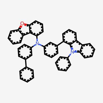 c1ccc(-c2cccc(N(c3cccc(-c4cccc5c6ccccc6n(-c6ccccc6)c45)c3)c3cccc4oc5ccccc5c34)c2)cc1